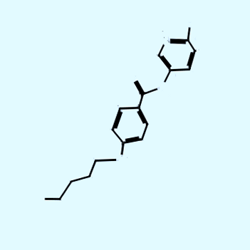 CCCCCOc1ccc(C(=O)Oc2ccc(F)nc2)cc1